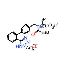 CC(=O)[O-].CCCCC(=O)N(Cc1ccc(-c2ccccc2-c2nnn[nH]2)cc1)[C@H](C(=O)O)C(C)C.[K+]